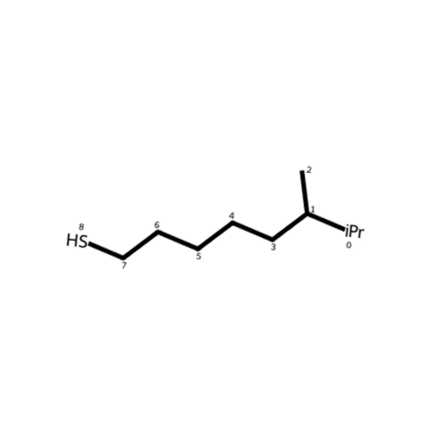 CC(C)C(C)CCCCCS